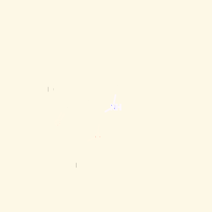 CCOc1[nH]c(-c2ccccc2)cc1C(C)=O